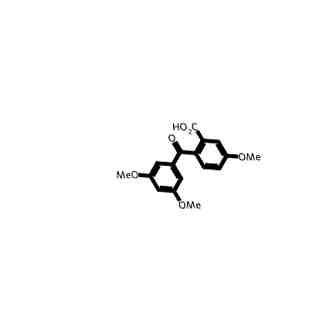 COc1cc(OC)cc(C(=O)c2ccc(OC)cc2C(=O)O)c1